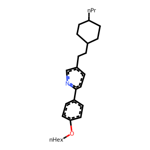 CCCCCCOc1ccc(-c2ccc(CCC3CCC(CCC)CC3)cn2)cc1